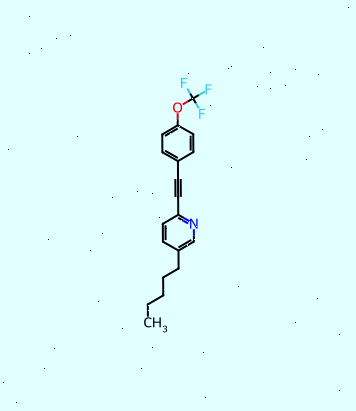 CCCCCc1ccc(C#Cc2ccc(OC(F)(F)F)cc2)nc1